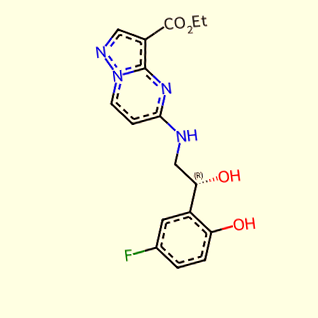 CCOC(=O)c1cnn2ccc(NC[C@H](O)c3cc(F)ccc3O)nc12